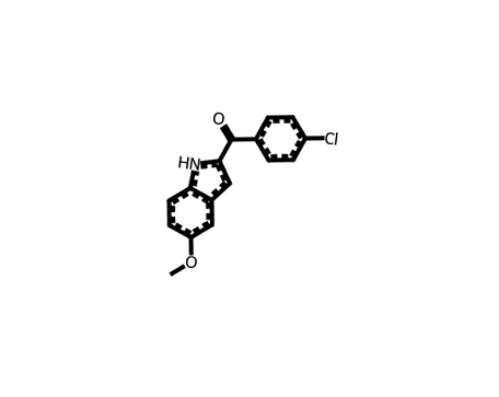 COc1ccc2[nH]c(C(=O)c3ccc(Cl)cc3)cc2c1